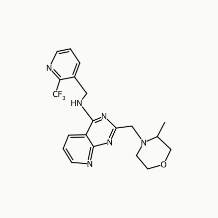 CC1COCCN1Cc1nc(NCc2cccnc2C(F)(F)F)c2cccnc2n1